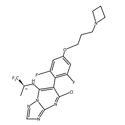 C[C@H](Nc1c(-c2c(F)cc(OCCCN3CCC3)cc2F)c(Cl)nc2ncnn12)C(F)(F)F